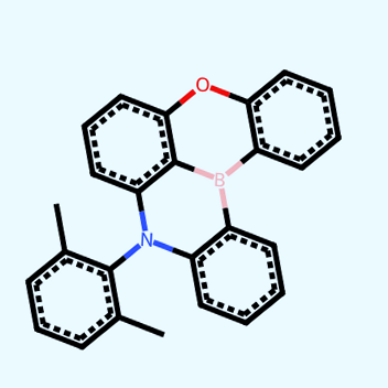 Cc1cccc(C)c1N1c2ccccc2B2c3ccccc3Oc3cccc1c32